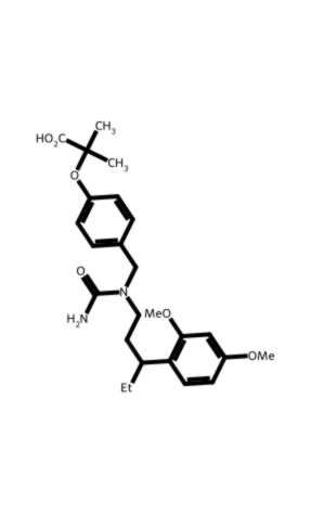 CCC(CCN(Cc1ccc(OC(C)(C)C(=O)O)cc1)C(N)=O)c1ccc(OC)cc1OC